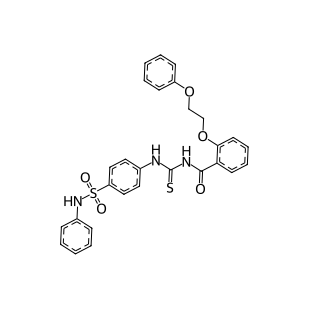 O=C(NC(=S)Nc1ccc(S(=O)(=O)Nc2ccccc2)cc1)c1ccccc1OCCOc1ccccc1